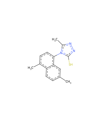 Cc1ccc2c(C)ccc(-n3c(C)nnc3S)c2c1